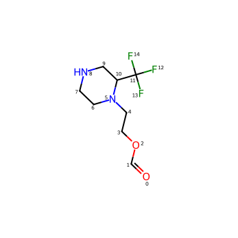 O=COCCN1CCNCC1C(F)(F)F